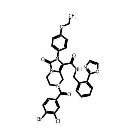 O=C(NCc1ccccc1-c1ncco1)c1c2n(c(=O)n1-c1ccc(OCC(F)(F)F)cc1)CCN(C(=O)c1ccc(Br)c(Cl)c1)C2